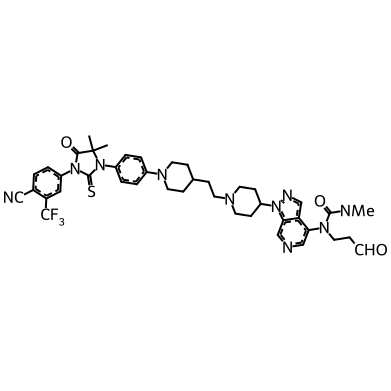 CNC(=O)N(CCC=O)c1cncc2c1cnn2C1CCN(CCC2CCN(c3ccc(N4C(=S)N(c5ccc(C#N)c(C(F)(F)F)c5)C(=O)C4(C)C)cc3)CC2)CC1